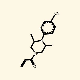 C=CC(=O)N1CC(C)N(c2ccc(C#N)cn2)C(C)C1